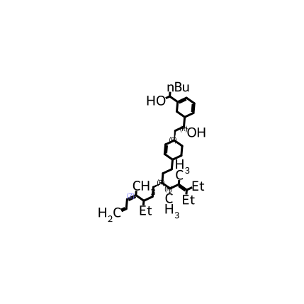 C=C/C=C(/C)C(CC)CC[C@@H](CCC1C=C[C@@H](C[C@@H](O)C2C=CC=C(C(O)CCCC)C2)CC1)[C@@H](C)C(C)=C(CC)CC